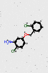 Nc1cc(OCc2ccccc2Cl)ccc1Cl